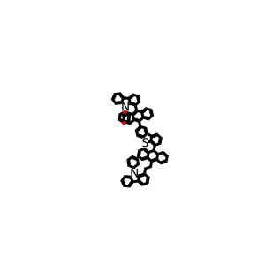 C1=CCC(n2c3ccccc3c3cccc(CCC4=C5C=CC=CC5C(c5cccc6c5sc5ccc(-c7c8ccccc8c(-c8cccc9c%10ccccc%10n(-c%10ccccc%10)c89)c8ccccc78)cc56)c5ccccc54)c32)C=C1